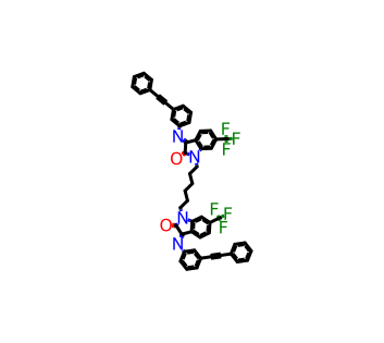 O=C1/C(=N/c2cccc(C#Cc3ccccc3)c2)c2ccc(C(F)(F)F)cc2N1CCCCCCN1C(=O)/C(=N/c2cccc(C#Cc3ccccc3)c2)c2ccc(C(F)(F)F)cc21